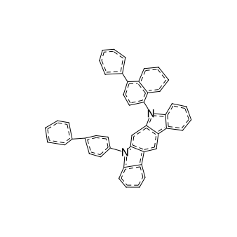 c1ccc(-c2ccc(-n3c4ccccc4c4cc5c6ccccc6n(-c6ccc(-c7ccccc7)c7ccccc67)c5cc43)cc2)cc1